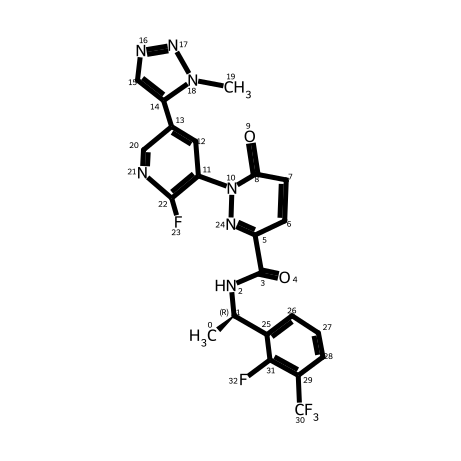 C[C@@H](NC(=O)c1ccc(=O)n(-c2cc(-c3cnnn3C)cnc2F)n1)c1cccc(C(F)(F)F)c1F